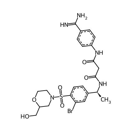 C[C@H](NC(=O)CC(=O)Nc1ccc(C(=N)N)cc1)c1ccc(S(=O)(=O)N2CCOC(CO)C2)c(Br)c1